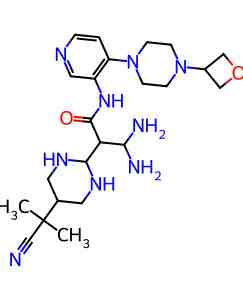 CC(C)(C#N)C1CNC(C(C(=O)Nc2cnccc2N2CCN(C3COC3)CC2)C(N)N)NC1